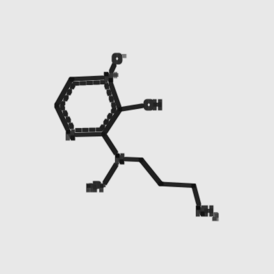 CCCN(CCCN)c1ncc[n+]([O-])c1O